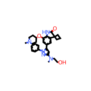 CN1CCC(Oc2cc(-c3cc(N(C)CCO)nn3-c3ccccc3)cc3c2NC(=O)C32CCC2)CC1